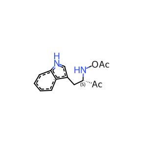 CC(=O)ON[C@@H](Cc1c[nH]c2ccccc12)C(C)=O